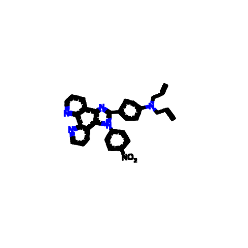 C=CCN(CC=C)c1ccc(-c2nc3c4cccnc4c4ncccc4c3n2-c2ccc([N+](=O)[O-])cc2)cc1